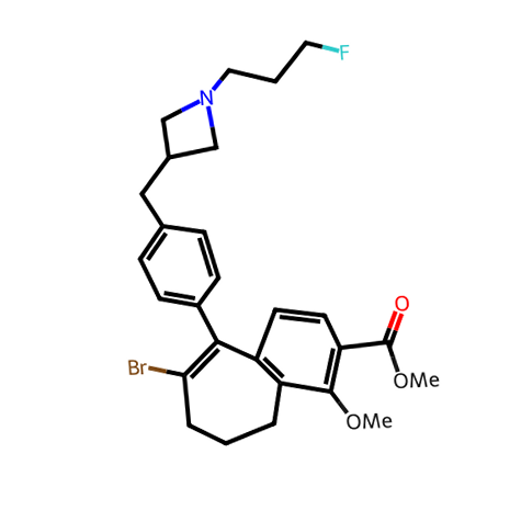 COC(=O)c1ccc2c(c1OC)CCCC(Br)=C2c1ccc(CC2CN(CCCF)C2)cc1